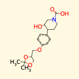 CC1(C)OCC(COc2ccc(C3CCN(C(=O)O)CC3O)cc2)O1